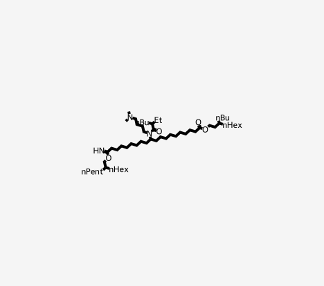 CCCCCCC(CCCC)CCOC(=O)CCCCCCCCCC(CCCCCCCCC(=N)OCC(CCCCC)CCCCCC)N(CCCCN(C)C)C(=O)C(CC)CCCC